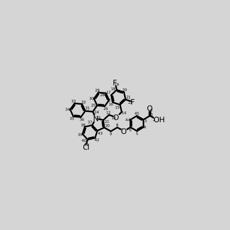 O=C(O)c1ccc(OCCc2c(COCc3ccc(F)cc3F)n(C(c3ccccc3)c3ccccc3)c3ccc(Cl)cc23)cc1